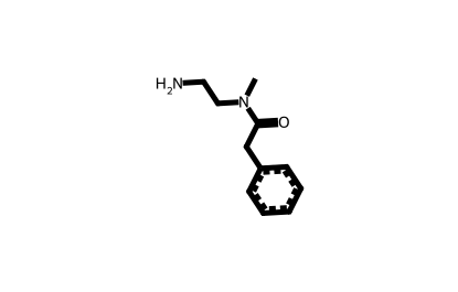 CN(CCN)C(=O)Cc1ccccc1